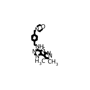 Cc1nnc2sc3c(NCc4ccc(CN5CCOCC5)cc4)ncnc3c2c1C